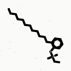 CCCCCCCCCCCCc1ccccc1O[N+](C)(C)CC